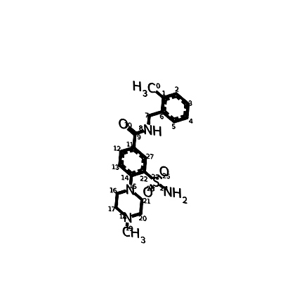 Cc1ccccc1CNC(=O)c1ccc(N2CCN(C)CC2)c(S(N)(=O)=O)c1